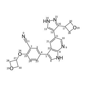 N#Cc1cc(-c2c[nH]c3ncc(-c4c[nH]nc4C4COC4)cc23)ccc1OC1COC1